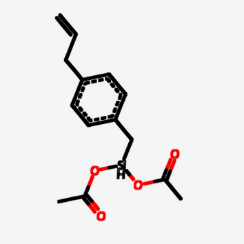 C=CCc1ccc(C[SiH](OC(C)=O)OC(C)=O)cc1